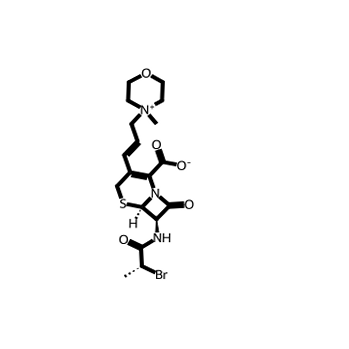 C[C@@H](Br)C(=O)N[C@@H]1C(=O)N2C(C(=O)[O-])=C(C=CC[N+]3(C)CCOCC3)CS[C@H]12